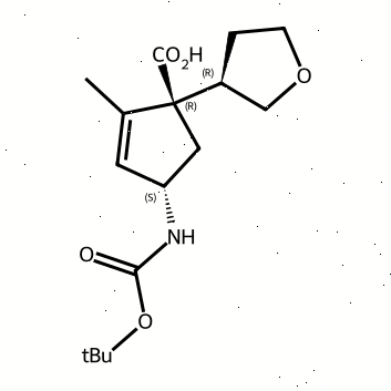 CC1=C[C@@H](NC(=O)OC(C)(C)C)C[C@@]1(C(=O)O)[C@H]1CCOC1